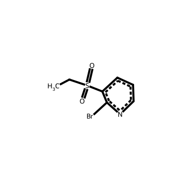 CCS(=O)(=O)c1cccnc1Br